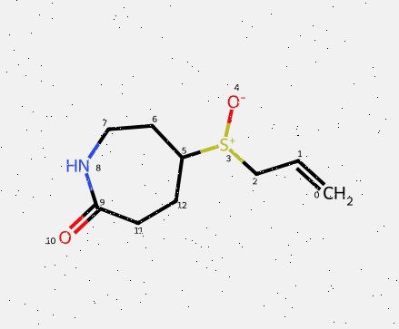 C=CC[S+]([O-])C1CCNC(=O)CC1